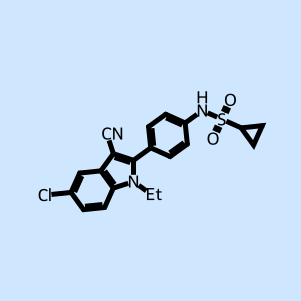 CCn1c(-c2ccc(NS(=O)(=O)C3CC3)cc2)c(C#N)c2cc(Cl)ccc21